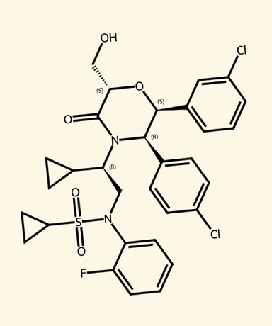 O=C1[C@H](CO)O[C@@H](c2cccc(Cl)c2)[C@@H](c2ccc(Cl)cc2)N1[C@@H](CN(c1ccccc1F)S(=O)(=O)C1CC1)C1CC1